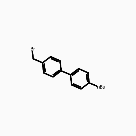 CCCCc1ccc(-c2ccc(CBr)cc2)cc1